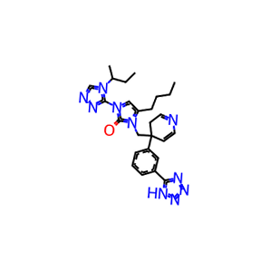 CCCCc1cn(-c2nncn2C(C)CC)c(=O)n1CC1(c2cccc(-c3nnn[nH]3)c2)C=CN=CC1